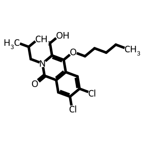 CCCCCOc1c(CO)n(CC(C)C)c(=O)c2cc(Cl)c(Cl)cc12